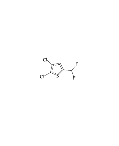 FC(F)c1cc(Cl)c(Cl)s1